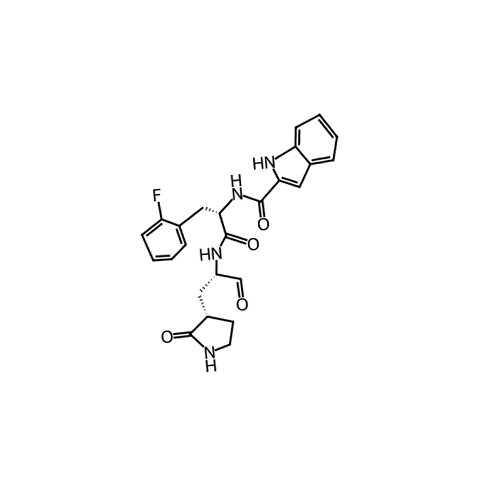 O=C[C@H](C[C@@H]1CCNC1=O)NC(=O)[C@H](Cc1ccccc1F)NC(=O)c1cc2ccccc2[nH]1